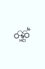 CN(C)CCC1(c2ccccc2F)CCc2ccccc2C1=O.Cl